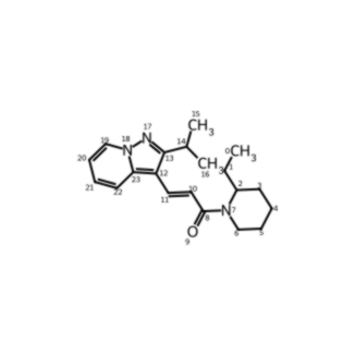 CCC1CCCCN1C(=O)C=Cc1c(C(C)C)nn2ccccc12